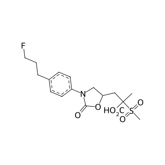 CC(CC1CN(c2ccc(CCCF)cc2)C(=O)O1)(C(=O)O)S(C)(=O)=O